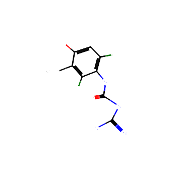 COc1c(O)cc(Cl)c(NC(=O)NC(=N)N)c1Cl